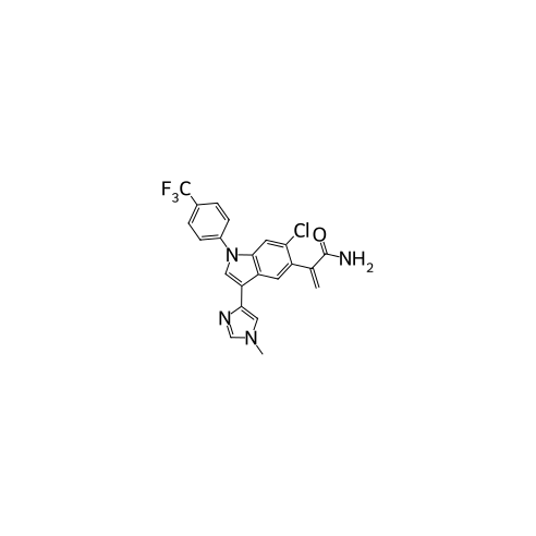 C=C(C(N)=O)c1cc2c(-c3cn(C)cn3)cn(-c3ccc(C(F)(F)F)cc3)c2cc1Cl